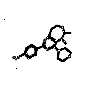 CC1OCCc2nc(-c3ccc([N+](=O)[O-])cc3)nc(N3CCOCC3)c2N1C